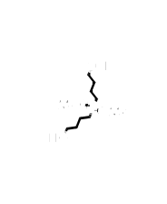 CO[Si](CCCCO)(CCCCO)OC